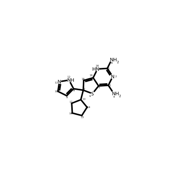 NC1=NC(N)=C2SC(c3ccn[nH]3)(C3CCCC3)C=C2N1